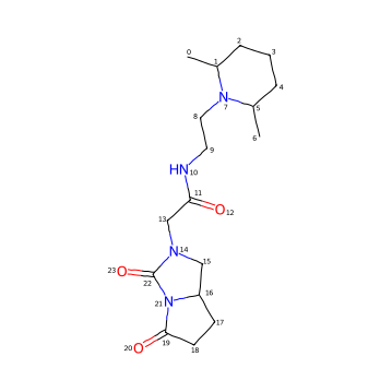 CC1CCCC(C)N1CCNC(=O)CN1CC2CCC(=O)N2C1=O